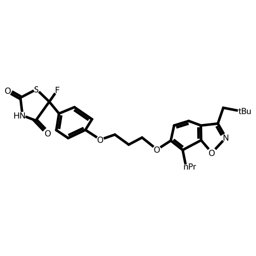 CCCc1c(OCCCOc2ccc(C3(F)SC(=O)NC3=O)cc2)ccc2c(CC(C)(C)C)noc12